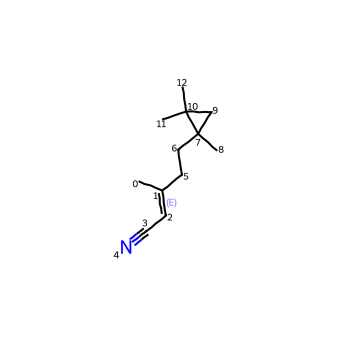 C/C(=C\C#N)CCC1(C)CC1(C)C